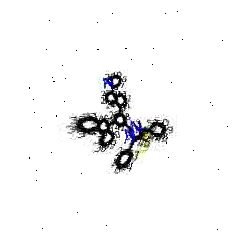 c1ccc(-c2nc(-c3cc(-c4cccc5c(-c6ccccn6)cccc45)cc(-c4cc5ccccc5c5ccccc45)c3)nc3c2sc2ccccc23)cc1